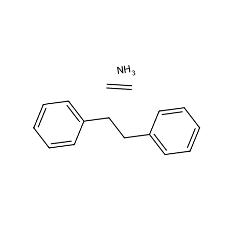 C=C.N.c1ccc(CCc2ccccc2)cc1